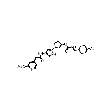 COc1cc(CC(=O)Nc2cc([C@@H]3CC[C@H](OC(=O)NCC4CCN(C(C)=O)CC4)C3)[nH]n2)ccn1